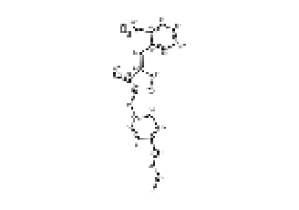 C=CCOc1ccc(/C=C2\CC/C(=C\c3ccccc3[N+](=O)[O-])C2=O)cc1